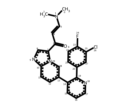 CN(C)/C=C/C(=O)c1cnc2ccc(-c3cccnc3-c3ccc(F)c(Cl)c3)cn12